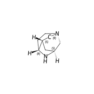 C1[C@H]2C[N@@]3CC[C@@H](N2)[C@@H]1C3